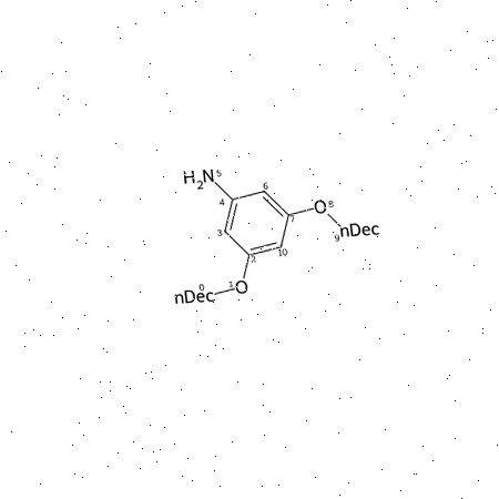 CCCCCCCCCCOc1cc(N)cc(OCCCCCCCCCC)c1